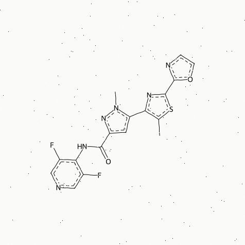 Cc1sc(-c2ncco2)nc1-c1cc(C(=O)Nc2c(F)cncc2F)nn1C